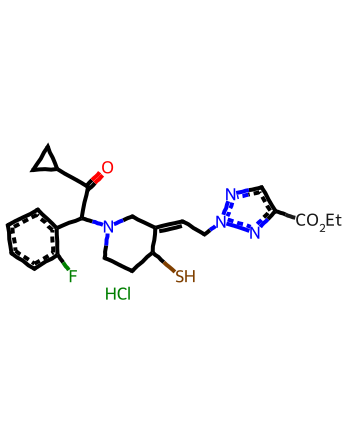 CCOC(=O)c1cnn(CC=C2CN(C(C(=O)C3CC3)c3ccccc3F)CCC2S)n1.Cl